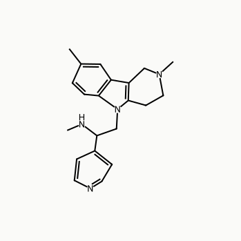 CNC(Cn1c2c(c3cc(C)ccc31)CN(C)CC2)c1ccncc1